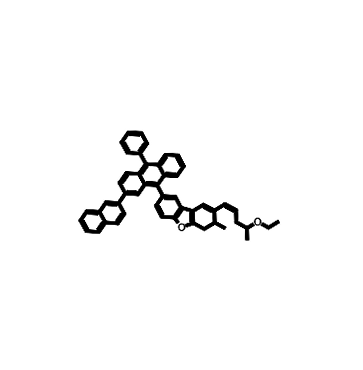 CCOC(C)C/C=C\C1=Cc2c(oc3ccc(-c4c5ccccc5c(-c5ccccc5)c5ccc(-c6ccc7ccccc7c6)cc45)cc23)CC1C